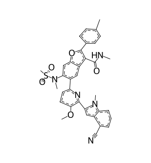 CNC(=O)c1c(-c2ccc(C)cc2)oc2cc(N(C)S(C)(=O)=O)c(-c3ccc(OC)c(-c4cc5c(C#N)cccc5n4C)n3)cc12